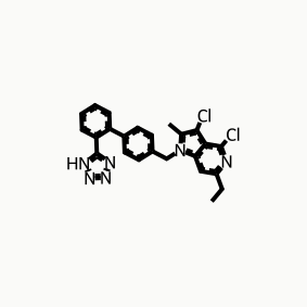 CCc1cc2c(c(Cl)n1)c(Cl)c(C)n2Cc1ccc(-c2ccccc2-c2nnn[nH]2)cc1